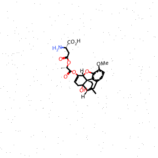 COc1ccc2c3c1O[C@H]1C(OC(=O)[C@H](C)OC(=O)C[C@H](N)C(=O)O)=CC[C@@]4(O)[C@@H](C2)C(C)CC[C@]314